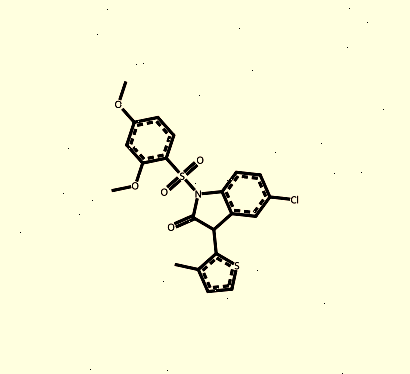 COc1ccc(S(=O)(=O)N2C(=O)C(c3sccc3C)c3cc(Cl)ccc32)c(OC)c1